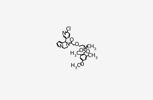 COc1cc(C)c(S(=O)(=O)N(C)CCOCC(=O)N2CCn3cccc3C2c2ccc(Cl)nc2)c(C)c1